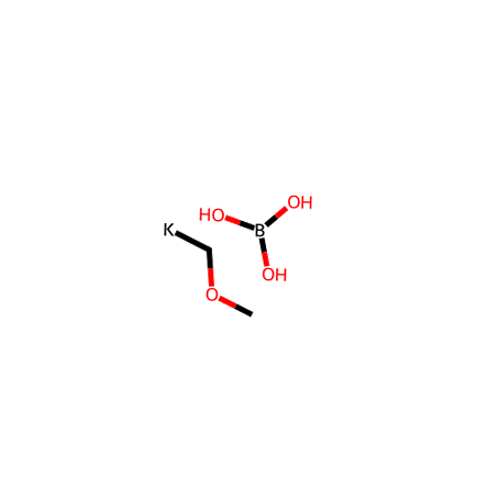 CO[CH2][K].OB(O)O